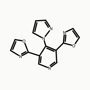 [c]1ncc(-c2ncco2)c(-n2cccn2)c1-c1ncco1